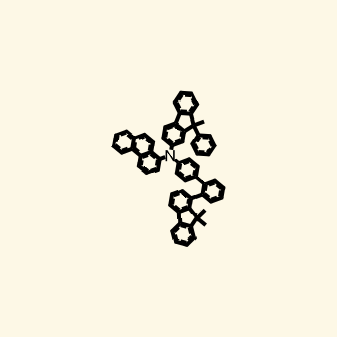 CC1(C)c2ccccc2-c2cccc(-c3ccccc3-c3ccc(N(c4ccc5c(c4)C(C)(c4ccccc4)c4ccccc4-5)c4cccc5c4ccc4ccccc45)cc3)c21